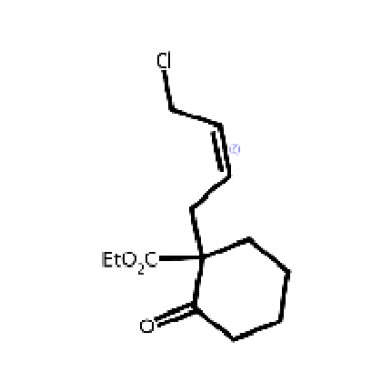 CCOC(=O)C1(C/C=C\CCl)CCCCC1=O